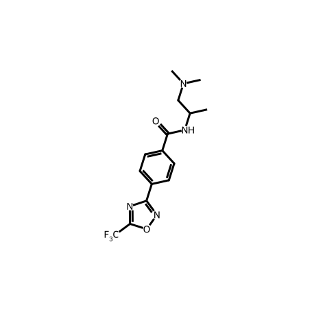 CC(CN(C)C)NC(=O)c1ccc(-c2noc(C(F)(F)F)n2)cc1